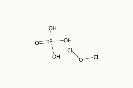 ClOCl.O=P(O)(O)O